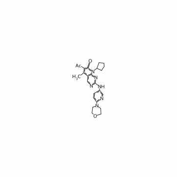 CC(=O)c1c(C)c2cnc(Nc3ccc(N4CCOCC4)nc3)nc2n(C2CCCC2)c1=O